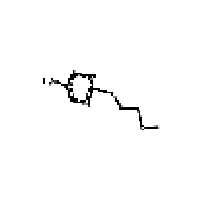 COCCOc1ncc(N)cn1